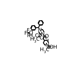 CB(O)N1CCC(CC(=O)N2CCN(C(c3ccccc3)c3cccc(OC(F)(F)F)c3)C[C@@H]2C(C)(C)C)CC1